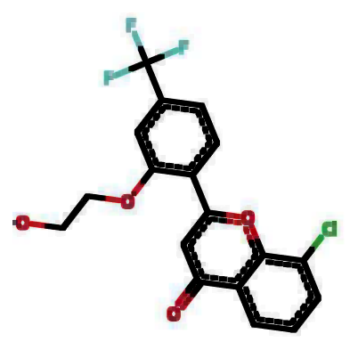 [O]CCOc1cc(C(F)(F)F)ccc1-c1cc(=O)c2cccc(Cl)c2o1